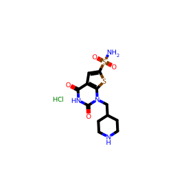 Cl.NS(=O)(=O)c1cc2c(=O)[nH]c(=O)n(CC3CCNCC3)c2s1